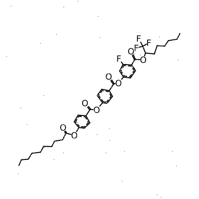 CCCCCCCCCC(=O)Oc1ccc(C(=O)Oc2ccc(C(=O)Oc3ccc(C(=O)OC(CCCCCC)C(F)(F)F)c(F)c3)cc2)cc1